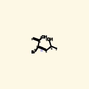 C=C(O)/C(Br)=C\C(C)O